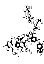 C=CCN(CC=C)C(=O)C(Cl)Cl.CCOC(=O)COC(=O)c1cc(Oc2ccc(C(F)(F)F)cc2Cl)ccc1[N+](=O)[O-].CCc1cccc(C)c1N(C(=O)CCl)C(C)COC.O=C(O)CNCP(=O)(O)O